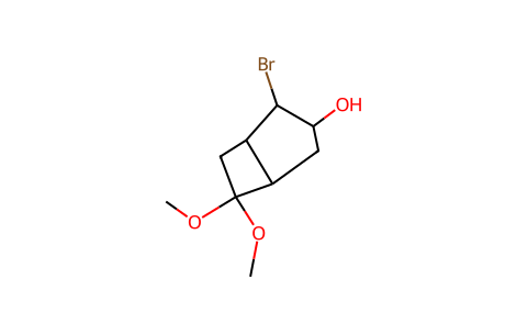 COC1(OC)CC2C(Br)C(O)CC21